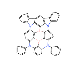 c1ccc(N2c3cccc4c3B3c5c2ccc2c5B5c6c(ccc(c63)N4c3ccccc3)-n3c4ccccc4c4cc6c7ccccc7n-2c6c5c43)cc1